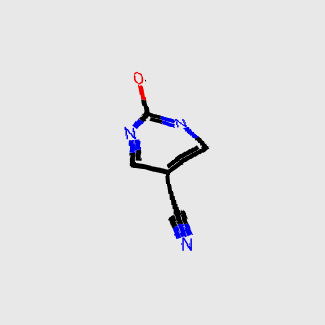 N#Cc1cnc([O])nc1